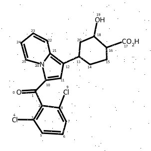 O=C(c1c(Cl)cccc1Cl)c1cc(C2CCC(C(=O)O)C(O)C2)c2ccccn12